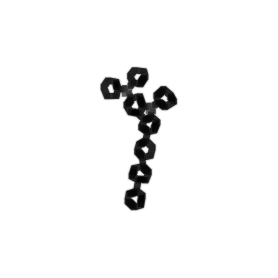 C1=CC(N(C2=CCCCC2)c2ccc3c4cc(C5=CC=C(c6ccc(-c7ccccc7)cc6)CC5)ccc4n(-c4ccccc4)c3c2)CCC1